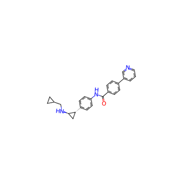 O=C(Nc1ccc([C@@H]2C[C@H]2NCC2CC2)cc1)c1ccc(-c2cccnc2)cc1